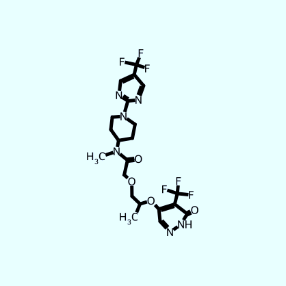 CC(COCC(=O)N(C)C1CCN(c2ncc(C(F)(F)F)cn2)CC1)Oc1cn[nH]c(=O)c1C(F)(F)F